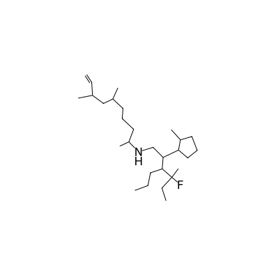 C=CC(C)CC(C)CCCC(C)NCC(C1CCCC1C)C(CCC)C(C)(F)CC